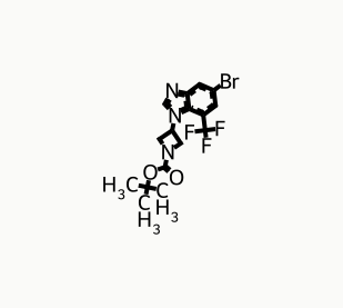 CC(C)(C)OC(=O)N1CC(n2cnc3cc(Br)cc(C(F)(F)F)c32)C1